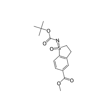 COC(=O)c1ccc2c(c1)CCS2(=O)=NC(=O)OC(C)(C)C